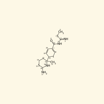 CSC(=N)NC(=O)C1=CCC(C2(C)CCSC(N)N2)C=C1